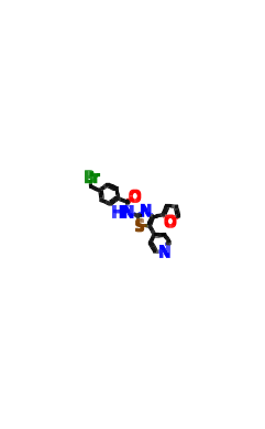 O=C(Nc1nc(-c2ccco2)c(-c2ccncc2)s1)c1ccc(CBr)cc1